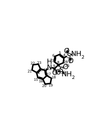 NS(=O)(=O)C1=CC=CC(C(=O)Nc2c3c(cc4c2CCC4)CCC3)(S(N)(=O)=O)C1